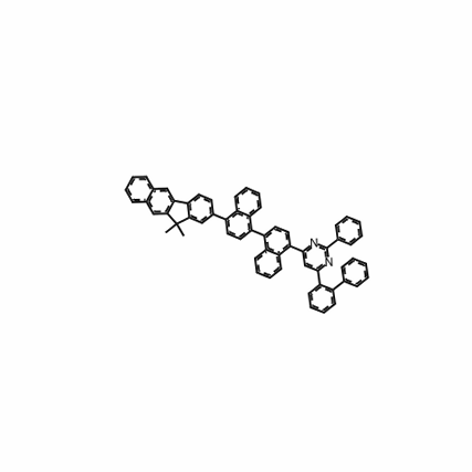 CC1(C)c2cc(-c3ccc(-c4ccc(-c5cc(-c6ccccc6-c6ccccc6)nc(-c6ccccc6)n5)c5ccccc45)c4ccccc34)ccc2-c2cc3ccccc3cc21